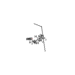 CCCCCCCC/C=C\CCCCCCCCN(CCCCCCCCCCCCCCCC)C(=O)C(N)C(N)C(=O)C[C@H](N)CCNC(=N)N.Cl.Cl.Cl